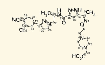 CC(=NOCCN1CCN(CC(=O)O)CC1)c1cc(C(=O)NC(C)Cn2ccc(-c3ccc(C#N)c(Cl)c3)n2)n[nH]1